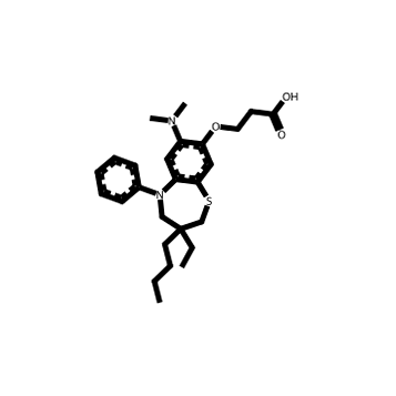 CCCCC1(CC)CSc2cc(OCCC(=O)O)c(N(C)C)cc2N(c2ccccc2)C1